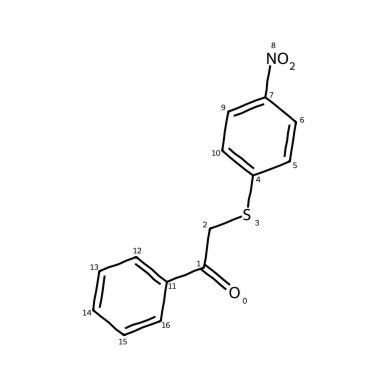 O=C(CSc1ccc([N+](=O)[O-])cc1)c1ccccc1